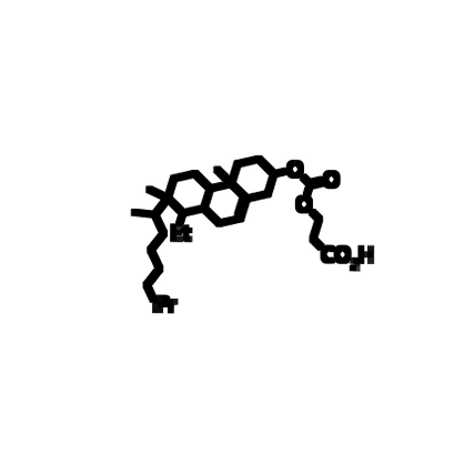 CCC1C2CC=C3CC(OC(=O)OCCC(=O)O)CCC3(C)C2CCC1(C)C(C)CCCCC(C)C